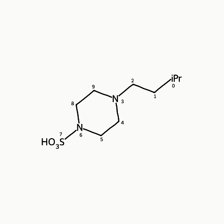 CC(C)CCN1CCN(S(=O)(=O)O)CC1